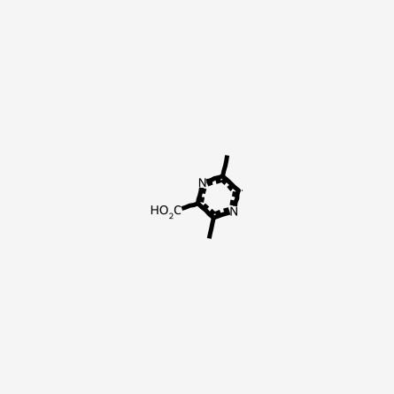 Cc1[c]nc(C)c(C(=O)O)n1